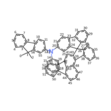 CC1(C)c2ccccc2-c2ccc(N(c3ccccc3)c3ccc4c(c3)C3(c5ccccc5-4)c4ccccc4-c4c3cc3c5c(cccc45)-c4ccccc4-3)cc21